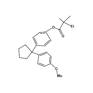 CCC(C)(C)C(=O)Oc1ccc(C2(c3ccc(OC(C)(C)C)cc3)CCCC2)cc1